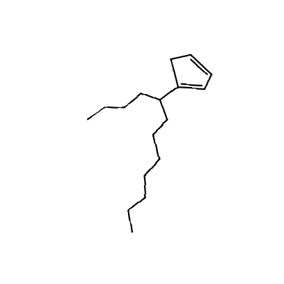 CCCCCCCC(CCCC)C1=CC=CC1